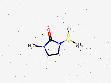 CN1CCN([SH](C)C)C1=O